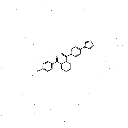 O=C(c1ccc(F)cc1)C1CCCCC1C(=O)c1ccc(-n2ccnc2)cc1